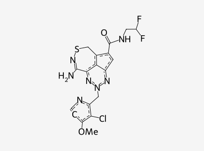 COc1ccnc(Cn2nc3cc(C(=O)NCC(F)F)c4c-3c(n2)C(N)=NSC4)c1Cl